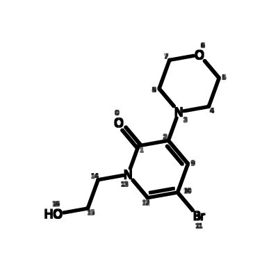 O=c1c(N2CCOCC2)cc(Br)cn1CCO